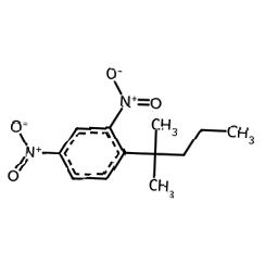 CCCC(C)(C)c1ccc([N+](=O)[O-])cc1[N+](=O)[O-]